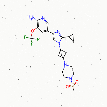 CS(=O)(=O)N1CCN(C23CC(n4cc(-c5cnc(N)c(OC(F)(F)F)c5)nc4C4CC4)(C2)C3)CC1